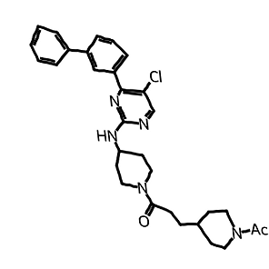 CC(=O)N1CCC(CCC(=O)N2CCC(Nc3ncc(Cl)c(-c4cccc(-c5ccccc5)c4)n3)CC2)CC1